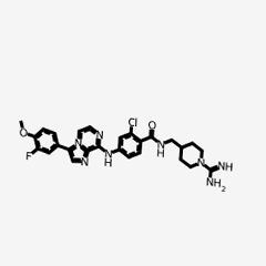 COc1ccc(-c2cnc3c(Nc4ccc(C(=O)NCC5CCN(C(=N)N)CC5)c(Cl)c4)nccn23)cc1F